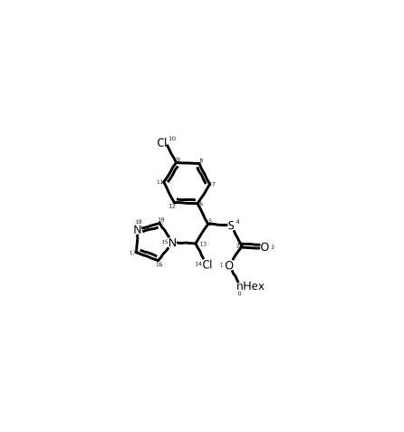 CCCCCCOC(=O)SC(c1ccc(Cl)cc1)C(Cl)n1ccnc1